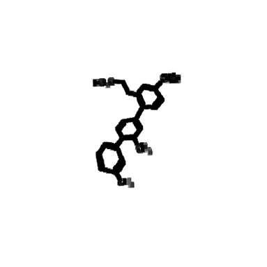 COc1ccc(-c2ccc(-c3cccc(C)c3)c(C)c2)c(CCC(=O)O)c1